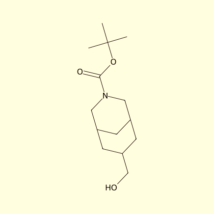 CC(C)(C)OC(=O)N1CC2CC(CO)CC(C2)C1